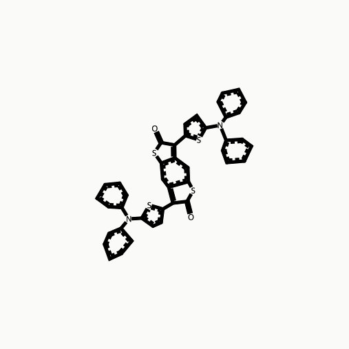 O=C1Sc2cc3c(cc2=C1c1ccc(N(c2ccccc2)c2ccccc2)s1)SC(=O)C=3c1ccc(N(c2ccccc2)c2ccccc2)s1